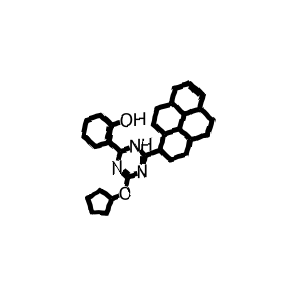 OC1=C(C2N=C(OC3CCCC3)N=C(C3CCC4CCC5C=CCC6CCC3C4C56)N2)CCCC1